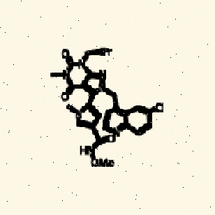 CONC(=O)c1cc(-c2c3c(=O)n(C)c(=O)n(CC(C)C)c3nn2Cc2ccnc3ccc(Cl)cc23)n(C)c1